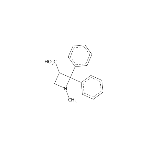 CN1CC(C(=O)O)C1(c1ccccc1)c1ccccc1